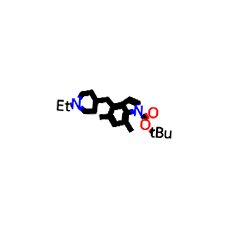 CCN1CCC(Cc2c(C)cc(C)c3c2ccn3C(=O)OC(C)(C)C)CC1